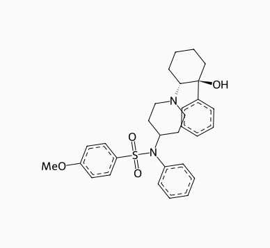 COc1ccc(S(=O)(=O)N(c2ccccc2)C2CCN([C@@H]3CCCC[C@]3(O)c3ccccc3)CC2)cc1